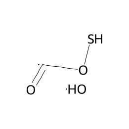 O=[C]OS.[OH]